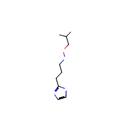 CCCCC(CCC)CONCCCc1ncc[nH]1